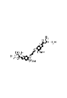 COc1cc2cc(C(=O)C[C@H](C)C(=O)O)sc2cc1OCCCCOc1cc2sc(C(=O)C[C@H](C)C(=O)O)cc2cc1OC